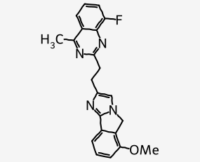 COc1cccc2c1Cn1cc(CCc3nc(C)c4cccc(F)c4n3)nc1-2